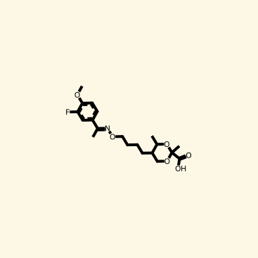 COc1ccc(C(C)=NOCCCCC2COC(C)(C(=O)O)OC2C)cc1F